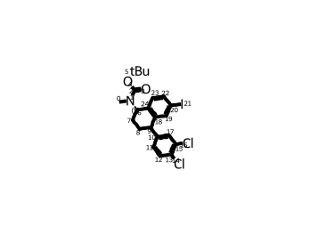 CN(C(=O)OC(C)(C)C)[C@H]1CCC(c2ccc(Cl)c(Cl)c2)c2cc(I)ccc21